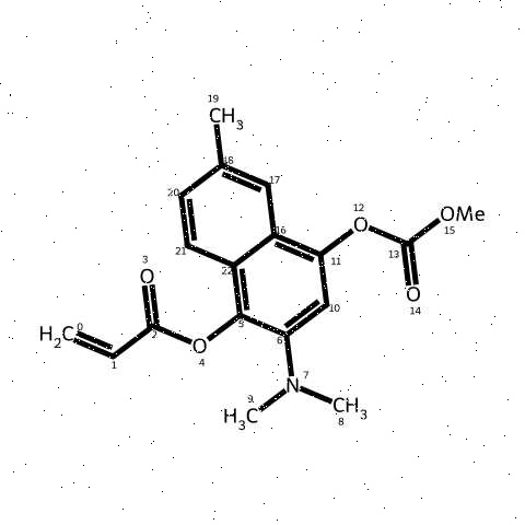 C=CC(=O)Oc1c(N(C)C)cc(OC(=O)OC)c2cc(C)ccc12